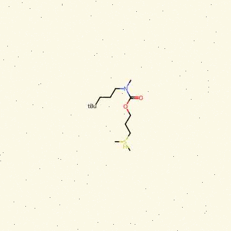 CN(CCCC(C)(C)C)C(=O)OCCC[SH](C)C